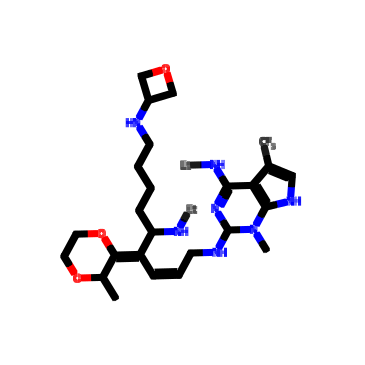 CCNC1=NC(NC/C=C\C(=C2\OCCOC2C)C(CCCCNC2COC2)NCC)N(C)c2[nH]cc(C(F)(F)F)c21